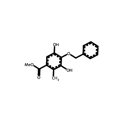 COC(=O)c1cc(O)c(OCc2ccccc2)c(O)c1C